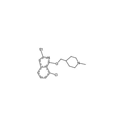 CCc1cc2cccc(Cl)c2c(OCC2CCN(C)CC2)n1